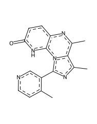 Cc1ccncc1-c1nc(C)c2c(C)nc3ccc(=O)[nH]c3n12